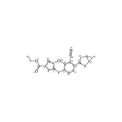 CCOC(=O)c1cn(Cc2ccc(N3CC4CC4C3)c(C#N)c2Cl)cn1